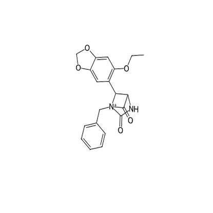 CCOc1cc2c(cc1C1C3NC(=O)[N+]1(Cc1ccccc1)C3=O)OCO2